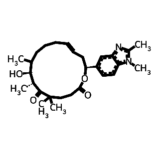 Cc1nc2cc([C@@H]3C/C=C/CCCC(C)[C@H](O)[C@@H](C)C(=O)C(C)(C)CCC(=O)O3)ccc2n1C